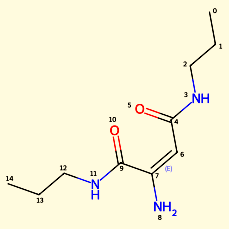 CCCNC(=O)/C=C(/N)C(=O)NCCC